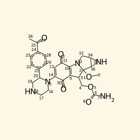 COC12C(COC(N)=O)C3=C(C(=O)C=C(N4CCNCC4c4ccc(C(C)=O)cc4)C3=O)N1CC1NC12